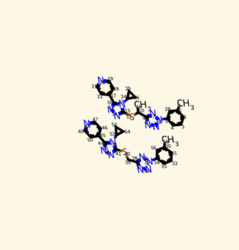 Cc1cccc(-n2nnc(C(C)Sc3nnc(-c4ccncc4)n3C3CC3)n2)c1.Cc1cccc(-n2nnc(CSc3nnc(-c4ccncc4)n3C3CC3)n2)c1